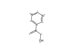 C=C(CO)c1cncnc1